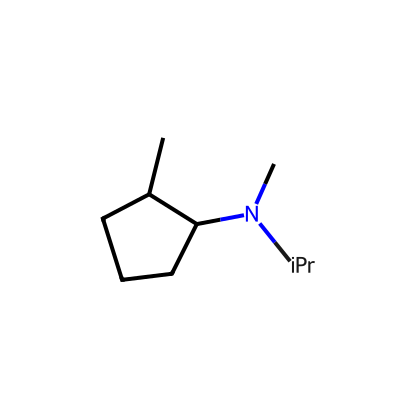 CC1CCCC1N(C)C(C)C